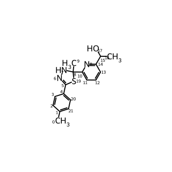 Cc1ccc(C2=NNC(C)(c3cccc(C(C)O)n3)S2)cc1